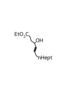 CCCCCCCCC#CC(O)CCC(=O)OCC